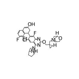 CCc1c(F)ccc2c1C(c1c(Cl)cc3c(N4CC5CCC(C4)N5)nc(OCC4(CN5C[C@@H]6C[C@H]5CO6)CC4)nc3c1F)CC(O)=C2